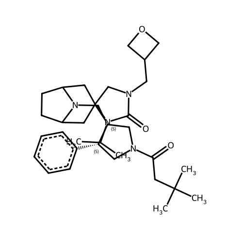 CC(C)N1C(=O)N(CC2COC2)CC12CC1CCC(C2)N1C[C@H]1CN(C(=O)CC(C)(C)C)C[C@@H]1c1ccccc1